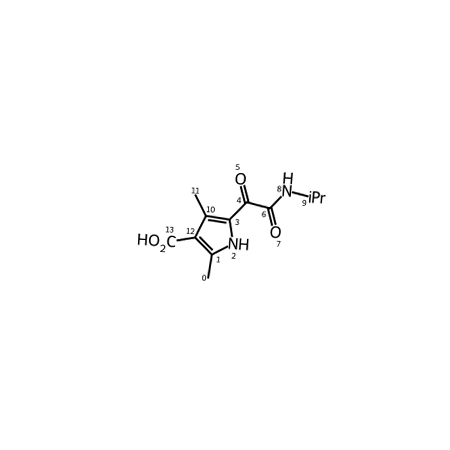 Cc1[nH]c(C(=O)C(=O)NC(C)C)c(C)c1C(=O)O